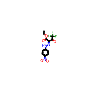 CCOC(=O)C(=NNc1ccc([N+](=O)[O-])cc1)C(=O)C(F)(F)F